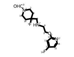 O=CN1CCC(F)(CNCCOc2cc(F)ccn2)CC1